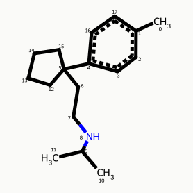 Cc1ccc(C2(CCNC(C)C)CCCC2)cc1